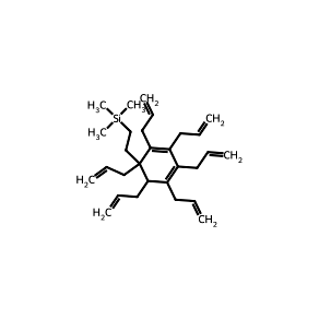 C=CCC1=C(CC=C)C(CC=C)C(CC=C)(CC[Si](C)(C)C)C(CC=C)=C1CC=C